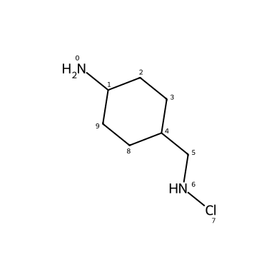 NC1CCC(CNCl)CC1